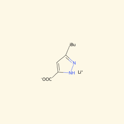 CCC(C)c1cc(C(=O)[O-])[nH]n1.[Li+]